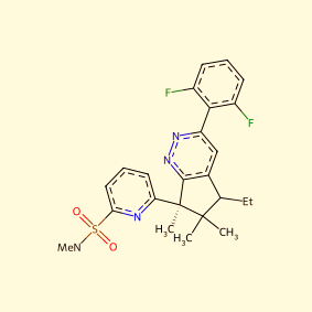 CCC1c2cc(-c3c(F)cccc3F)nnc2[C@](C)(c2cccc(S(=O)(=O)NC)n2)C1(C)C